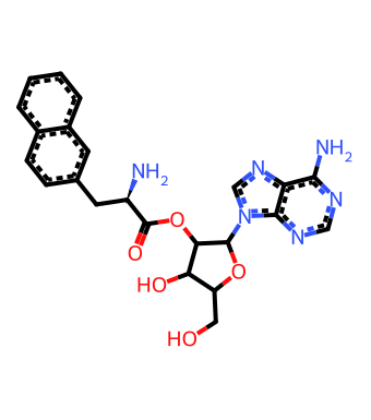 Nc1ncnc2c1ncn2C1OC(CO)C(O)C1OC(=O)[C@H](N)Cc1ccc2ccccc2c1